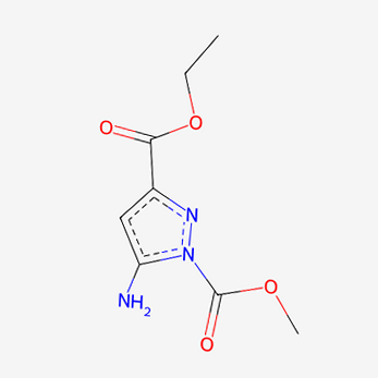 CCOC(=O)c1cc(N)n(C(=O)OC)n1